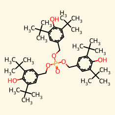 CC(C)(C)c1cc(COP(=O)(OCc2cc(C(C)(C)C)c(O)c(C(C)(C)C)c2)OCc2cc(C(C)(C)C)c(O)c(C(C)(C)C)c2)cc(C(C)(C)C)c1O